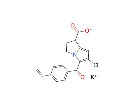 C=Cc1ccc(C(=O)c2c(Cl)cc3n2CCC3C(=O)[O-])cc1.[K+]